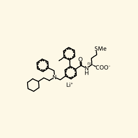 CSCC[C@H](NC(=O)c1ccc(CN(CCC2CCCCC2)Cc2ccccc2)cc1-c1ccccc1C)C(=O)[O-].[Li+]